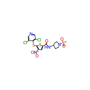 CS(=O)(=O)N1CCC(NC(=O)c2cc([N+](=O)[O-])c(Sc3c(Cl)cncc3Cl)s2)CC1